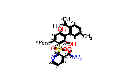 C=C(C)c1ccc(C)cc1-c1c(O)cc(CCCCC)c(S(=O)(=O)c2ncccc2C(N)=O)c1O